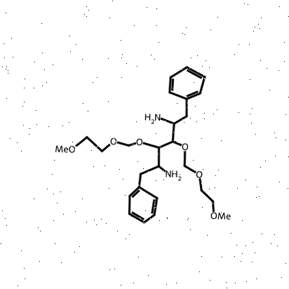 COCCOCOC(C(N)Cc1ccccc1)C(OCOCCOC)C(N)Cc1ccccc1